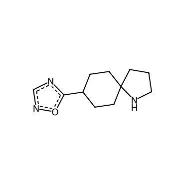 c1noc(C2CCC3(CCCN3)CC2)n1